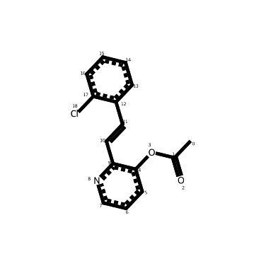 CC(=O)Oc1cccnc1C=Cc1ccccc1Cl